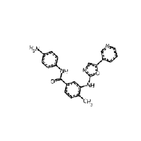 Cc1ccc(C(=O)Nc2ccc(N)cc2)cc1Nc1ncc(-c2cccnc2)o1